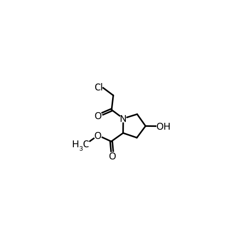 COC(=O)C1CC(O)CN1C(=O)CCl